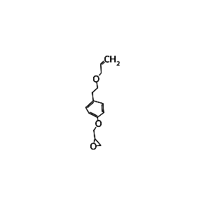 C=CCOCCc1ccc(OCC2CO2)cc1